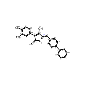 O=C1O/C(=C\c2ccc(-c3ccccc3)cc2)C(O)=C1c1ccc(Cl)c(Cl)c1